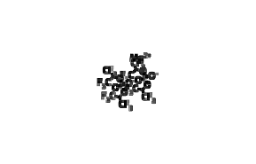 O=P([O-])(OC(C(F)(F)F)C(F)(F)F)OC(C(F)(F)F)C(F)(F)F.O=P([O-])(OC(C(F)(F)F)C(F)(F)F)OC(C(F)(F)F)C(F)(F)F.[Mg+2]